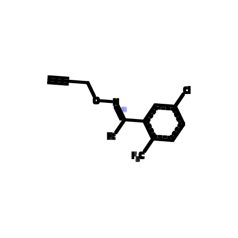 C#CCO/N=C(\CC)c1cc(Cl)ccc1C(F)(F)F